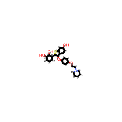 Oc1ccc2c(Oc3ccc(OCCN4CCCCC4)cc3)c(-c3cccc(O)c3O)sc2c1